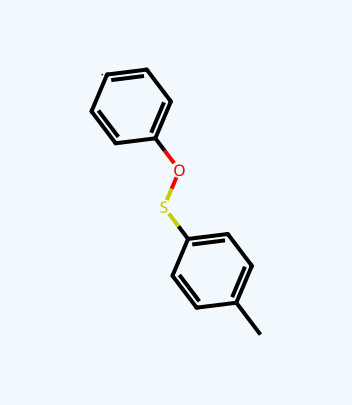 Cc1ccc(SOc2cc[c]cc2)cc1